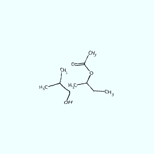 CC(C)CO.CCC(C)OC(C)=O